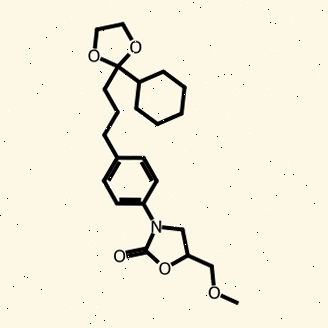 COCC1CN(c2ccc(CCCC3(C4CCCCC4)OCCO3)cc2)C(=O)O1